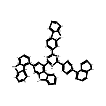 C1=Cc2c(cccc2-c2ccc(-c3nc(-c4ccc5c(c4)sc4ccccc45)nc(-c4cc(-c5cccc6sc7ccccc7c56)cc5oc6ccccc6c45)n3)cc2)CC1